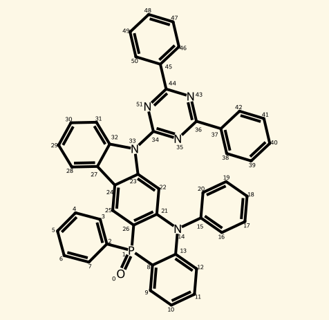 O=P1(c2ccccc2)c2ccccc2N(c2ccccc2)c2cc3c(cc21)c1ccccc1n3-c1nc(-c2ccccc2)nc(-c2ccccc2)n1